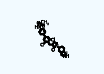 CS(=O)(=O)Nc1ccc(-c2cc(Cl)c(CC3CCN(C4CCc5n[nH]cc5C4)C3=O)c(Cl)c2)cc1